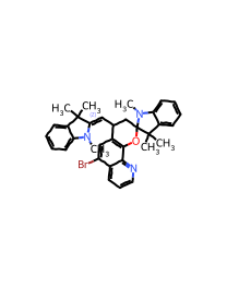 CN1/C(=C\C2CC3(Oc4c2cc(Br)c2cccnc42)N(C)c2ccccc2C3(C)C)C(C)(C)c2ccccc21